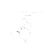 C/C=C1/C(=O)[C@H]2C(CCC[C@@H](O)C[C@@H]1C)CC[C@@]1(C)C2CCC1[C@H](C)CCC(=O)O